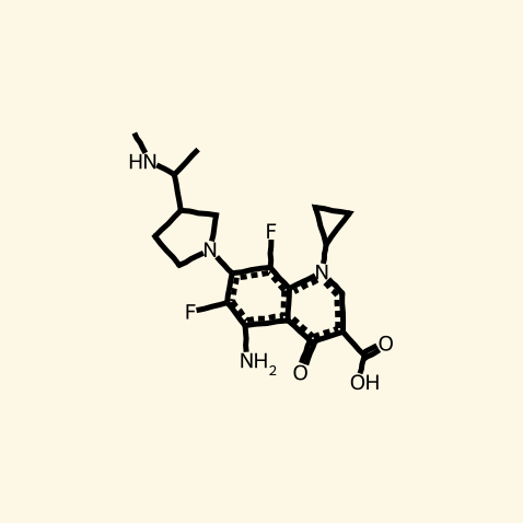 CNC(C)C1CCN(c2c(F)c(N)c3c(=O)c(C(=O)O)cn(C4CC4)c3c2F)C1